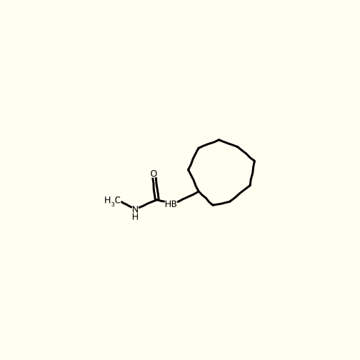 CNC(=O)BC1CCCCCCCC1